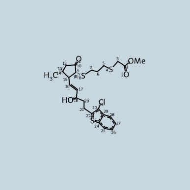 COC(=O)CSCCCS[C@H]1C(=O)C[C@@H](C)C1C=CC(O)CCc1sc2ccccc2c1Cl